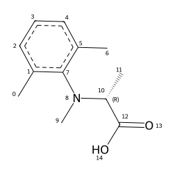 Cc1cccc(C)c1N(C)[C@H](C)C(=O)O